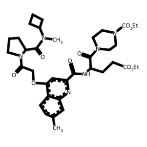 CCOC(=O)CCC(NC(=O)c1cc(OCC(=O)N2CCCC2C(=O)N(C)C2CCC2)c2ccc(C)cc2n1)C(=O)N1CCN(C(=O)OCC)CC1